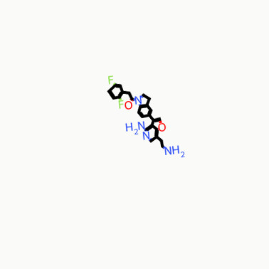 NCCc1cnc(N)c2c(-c3ccc4c(c3)CCN4C(=O)Cc3cc(F)ccc3F)coc12